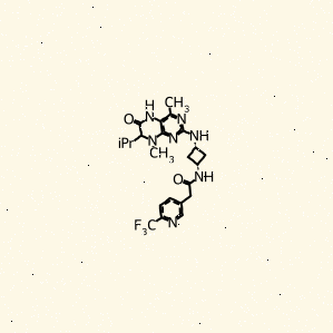 Cc1nc(N[C@H]2C[C@@H](NC(=O)Cc3ccc(C(F)(F)F)nc3)C2)nc2c1NC(=O)C(C(C)C)N2C